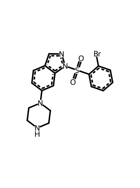 O=S(=O)(c1ccccc1Br)n1ncc2ccc(N3CCNCC3)cc21